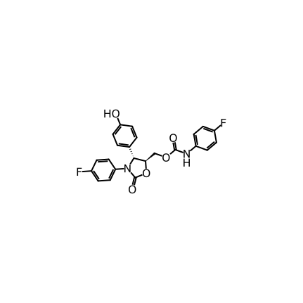 O=C(Nc1ccc(F)cc1)OC[C@H]1OC(=O)N(c2ccc(F)cc2)[C@@H]1c1ccc(O)cc1